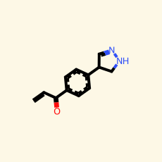 C=CC(=O)c1ccc(C2C=NNC2)cc1